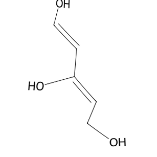 OC=CC(O)=CCO